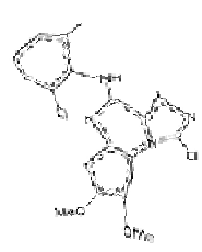 COc1cc2nc(Nc3c(C)cccc3Cl)c3cnc(Cl)n3c2cc1OC